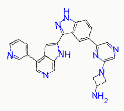 NC1CN(c2cncc(-c3ccc4[nH]nc(-c5cc6c(-c7cccnc7)cncc6[nH]5)c4c3)n2)C1